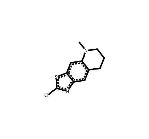 CN1CCCc2cc3nc(Cl)sc3cc21